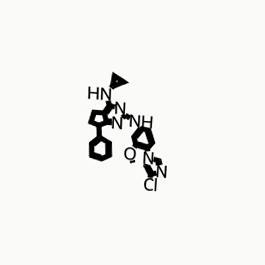 COc1cc(Nc2nc(NC3CC3)c3c(n2)C(c2ccccc2)CC3)ccc1-n1cnc(Cl)c1